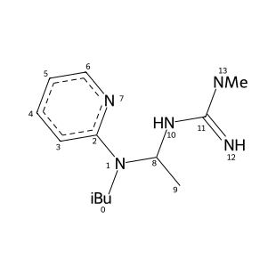 CCC(C)N(c1ccccn1)C(C)NC(=N)NC